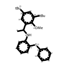 COc1c(C(C)Nc2ccccc2Sc2ccccc2)cc(C(C)(C)C)cc1C(C)(C)C